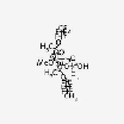 COS(=O)(=O)C(C(=O)OC(C)COCC(F)(F)C(F)(F)C(F)(F)F)C(CC(=O)OC(C)CO)C(=O)OC(C)COCC(F)(F)C(F)(F)C(C)(F)F